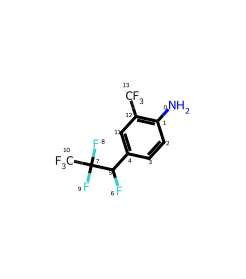 Nc1ccc(C(F)C(F)(F)C(F)(F)F)cc1C(F)(F)F